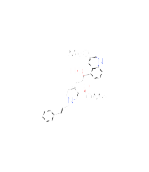 COC(=O)[C@@H]1CN(CC=Cc2ccccc2)CC[C@H]1CC[C@@H](O)c1cccc2ncc(OC)cc12